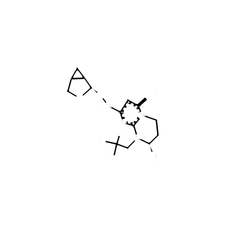 CCC(O)(CC)CN1c2nc(NC[C@H]3OCC4CC43)cc(=O)n2CC[C@H]1C(F)(F)F